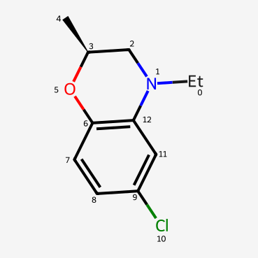 CCN1C[C@H](C)Oc2ccc(Cl)cc21